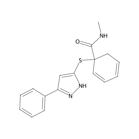 CNC(=O)C1(Sc2cc(-c3ccccc3)n[nH]2)C=CC=CC1